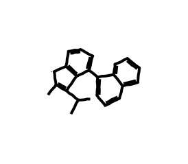 CC1=C(C(C)C)c2c(cccc2-c2cccc3ccccc23)[CH]1